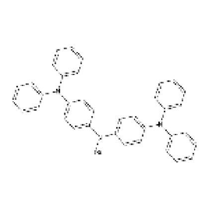 CC(C)(C)N(c1ccc(N(c2ccccc2)c2ccccc2)cc1)c1ccc(N(c2ccccc2)c2ccccc2)cc1